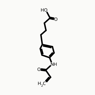 C=CC(=O)Nc1ccc(CCCC(=O)O)cc1